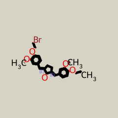 CCCOc1ccc(/C=C2\CC/C(=C\c3ccc(OCCBr)c(OC)c3)C2=O)cc1OC